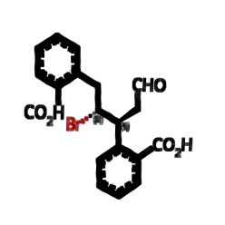 O=CC[C@@H](c1ccccc1C(=O)O)[C@H](Br)Cc1ccccc1C(=O)O